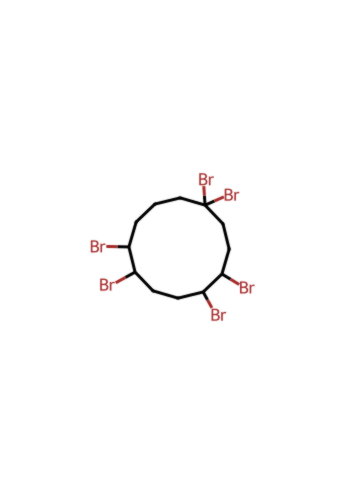 BrC1CCCC(Br)(Br)CCC(Br)C(Br)CCC1Br